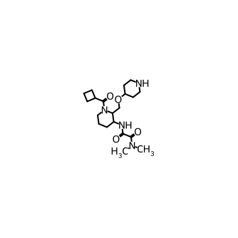 CN(C)C(=O)C(=O)NC1CCCN(C(=O)C2CCC2)C1COC1CCNCC1